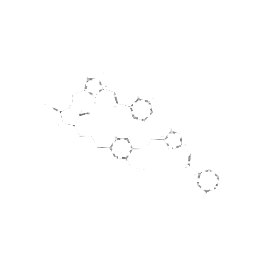 COc1cc(CCCC2OC(=O)N(Cc3coc(C=Cc4ccccc4)n3)C2=O)ccc1OCc1coc(C=Cc2ccccc2)n1